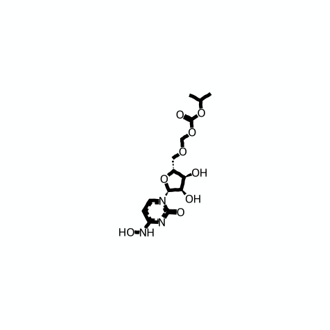 CC(C)OC(=O)OCOC[C@H]1O[C@@H](n2ccc(NO)nc2=O)[C@H](O)[C@@H]1O